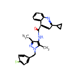 Cc1nn(Cc2ccc(F)cc2)c(C)c1NC(=O)c1cc(C2CC2)nc2ccccc12